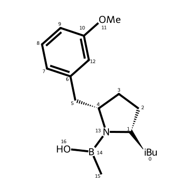 CC[C@H](C)[C@H]1CC[C@@H](Cc2cccc(OC)c2)N1B(C)O